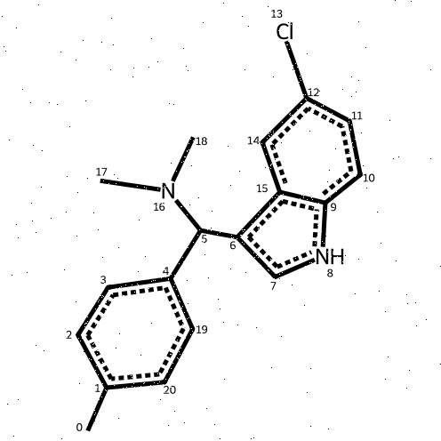 Cc1ccc(C(c2c[nH]c3ccc(Cl)cc23)N(C)C)cc1